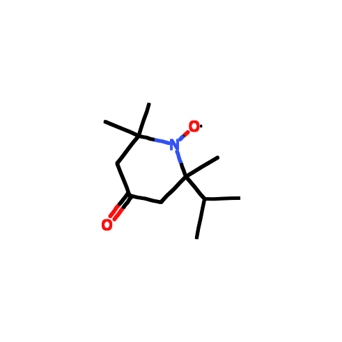 CC(C)C1(C)CC(=O)CC(C)(C)N1[O]